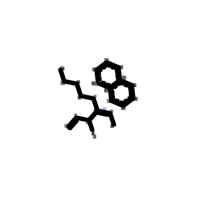 C=CC(I)/C(=C\C)CCCCC.c1ccc2ncccc2c1